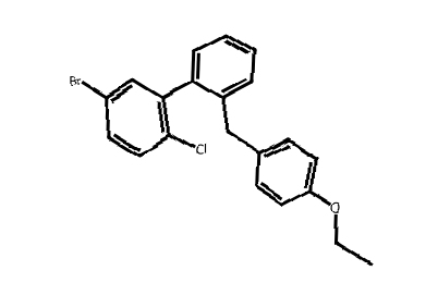 CCOc1ccc(Cc2ccccc2-c2cc(Br)ccc2Cl)cc1